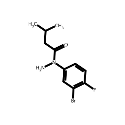 CC(C)CC(=O)N(N)c1ccc(F)c(Br)c1